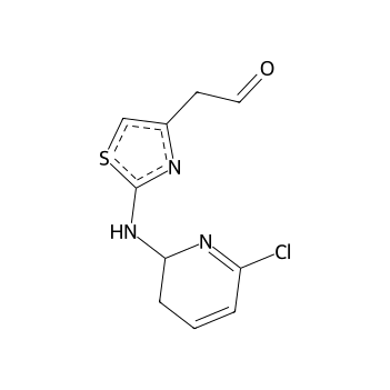 O=CCc1csc(NC2CC=CC(Cl)=N2)n1